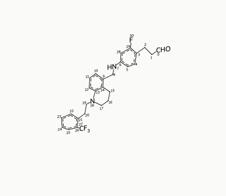 O=CCCc1ccc(NCc2cccc3c2CCCN3CCc2ccccc2C(F)(F)F)cc1F